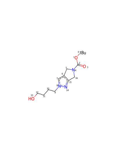 CC(C)(C)OC(=O)N1Cc2cn(CCCCO)nc2C1